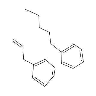 C=CCc1ccccc1.CCCCCc1ccccc1